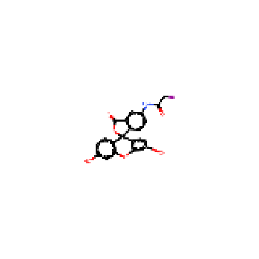 O=C(CI)Nc1ccc2c(c1)C(=O)OC21c2ccc(O)cc2Oc2cc(O)ccc21